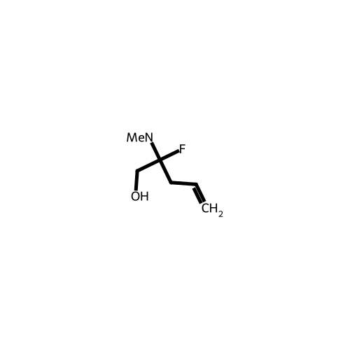 C=CCC(F)(CO)NC